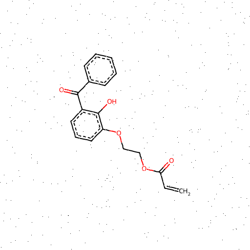 C=CC(=O)OCCOc1cccc(C(=O)c2ccccc2)c1O